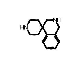 c1ccc2c(c1)CNCC21CCNCC1